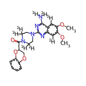 [2H]c1c(OC)c(OC)c([2H])c2c(N([2H])[2H])nc(N3CC([2H])([2H])N(C(=O)C4COc5ccccc5O4)C([2H])([2H])C3)nc12